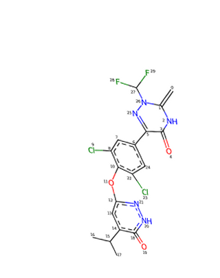 C=C1NC(=O)C(c2cc(Cl)c(Oc3cc(C(C)C)c(=O)[nH]n3)c(Cl)c2)=NN1C(F)F